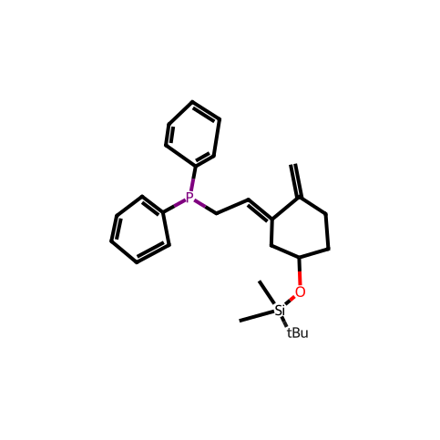 C=C1CCC(O[Si](C)(C)C(C)(C)C)CC1=CCP(c1ccccc1)c1ccccc1